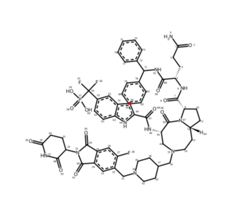 NC(=O)CC[C@H](NC(=O)[C@@H]1CC[C@@H]2CCN(CC3CCN(Cc4cc5c(cc4F)C(=O)N(C4CCC(=O)NC4=O)C5=O)CC3)C[C@H](NC(=O)c3cc4cc(C(F)(F)P(=O)(O)O)ccc4[nH]3)C(=O)N21)C(=O)NC(c1ccccc1)c1ccccc1